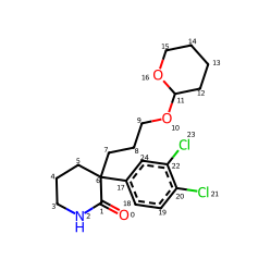 O=C1NCCCC1(CCCOC1CCCCO1)c1ccc(Cl)c(Cl)c1